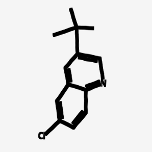 CC(C)(C)c1cnc2ccc(Cl)cc2c1